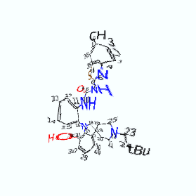 Cc1ccc2nc(NC(=O)Nc3ccccc3N3CC4(CCN(CC(C)(C)C)CC4)c4cccc(O)c43)sc2c1